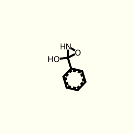 OC1(c2ccccc2)NO1